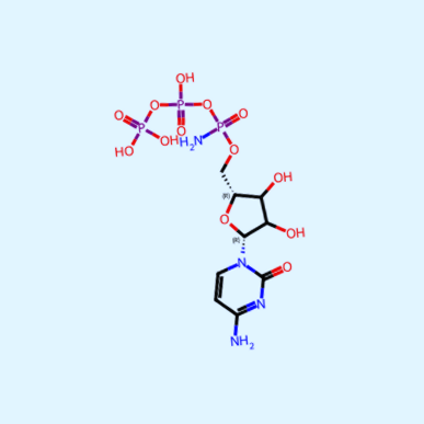 Nc1ccn([C@@H]2O[C@H](COP(N)(=O)OP(=O)(O)OP(=O)(O)O)C(O)C2O)c(=O)n1